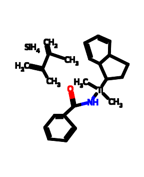 C=C(C)C(=C)C.[CH3][Ti]([CH3])([NH]C(=O)c1ccccc1)[CH]1CCC2C=CC=CC21.[SiH4]